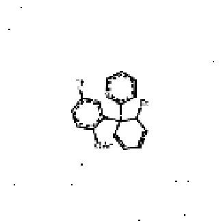 CCc1ccc(OC(C)=O)c(C2(c3ccccn3)C=CC=CC2CC)c1